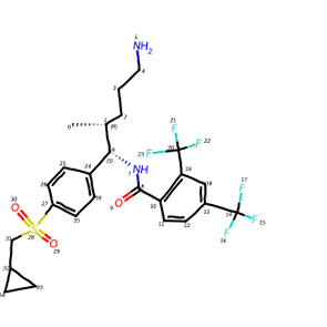 C[C@H](CCCN)[C@H](NC(=O)c1ccc(C(F)(F)F)cc1C(F)(F)F)c1ccc(S(=O)(=O)CC2CC2)cc1